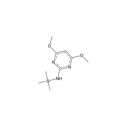 COc1cc(OC)nc(N[Si](C)(C)C)n1